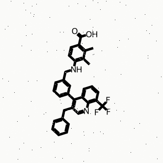 Cc1c(NCc2cccc(-c3c(Cc4ccccc4)cnc4c(C(F)(F)F)cccc34)c2)ccc(C(=O)O)c1C